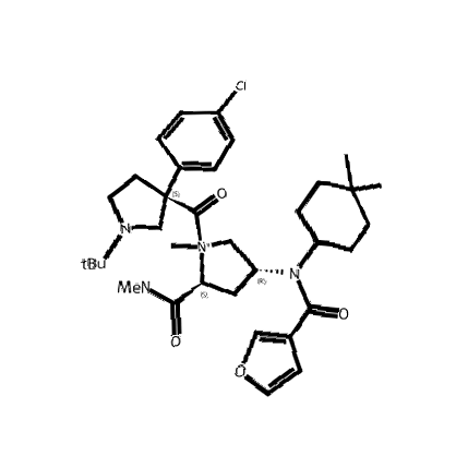 CNC(=O)[C@@H]1C[C@@H](N(C(=O)c2ccoc2)C2CCC(C)(C)CC2)C[N+]1(C)C(=O)[C@]1(c2ccc(Cl)cc2)CCN(C(C)(C)C)C1